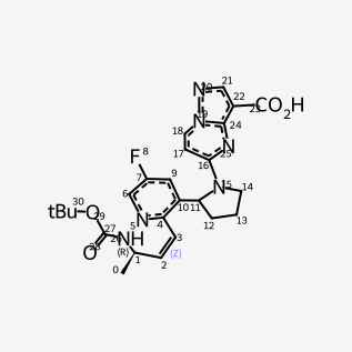 C[C@H](/C=C\c1ncc(F)cc1C1CCCN1c1ccn2ncc(C(=O)O)c2n1)NC(=O)OC(C)(C)C